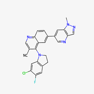 Cn1ncc2ncc(-c3ccc4ncc(C#N)c(N5CCc6cc(F)c(Cl)cc65)c4c3)cc21